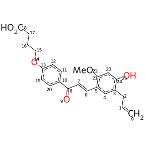 C=CCc1cc(C=CC(=O)c2ccc(OCCCC(=O)O)cc2)c(OC)cc1O